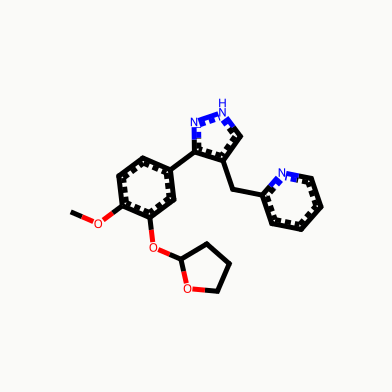 COc1ccc(-c2n[nH]cc2Cc2ccccn2)cc1OC1CCCO1